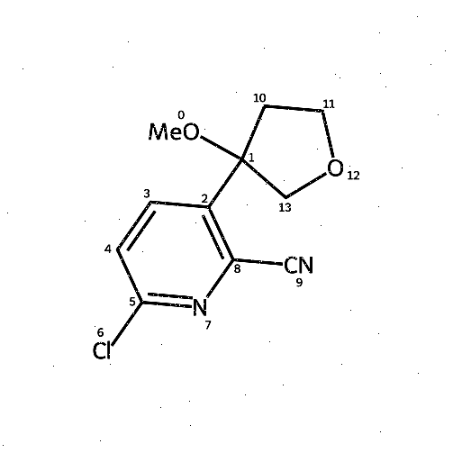 COC1(c2ccc(Cl)nc2C#N)CCOC1